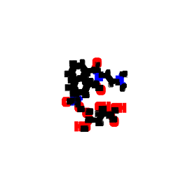 CN(C)CCN1C(=O)c2cccc3cc([N+](=O)[O-])cc(c23)C1=O.O=C(O)CC(O)C(=O)O